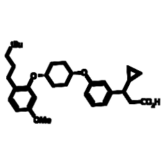 COc1ccc(CCCC(C)(C)C)c(O[C@H]2CC[C@H](Oc3cccc(C(CC(=O)O)C4CC4)c3)CC2)c1